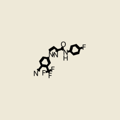 N#Cc1ccc(-n2ccc(C(=O)Nc3ccc(F)cc3)n2)cc1C(F)(F)F